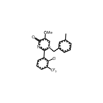 COc1cn(Cc2cccc(C)c2)c(-c2cccc(C(F)(F)F)c2Cl)nc1=O